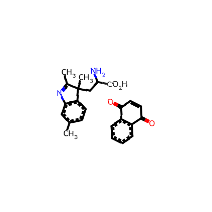 CC1=Nc2cc(C)ccc2C1(C)CC(N)C(=O)O.O=C1C=CC(=O)c2ccccc21